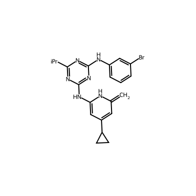 C=C1C=C(C2CC2)C=C(Nc2nc(Nc3cccc(Br)c3)nc(C(C)C)n2)N1